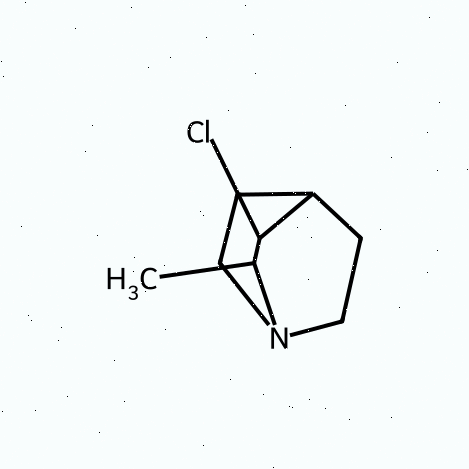 CC1C(Cl)C2CCN1CC2